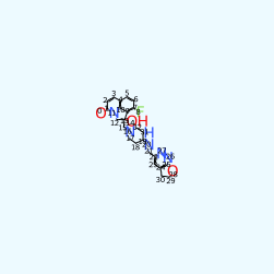 O=c1ccc2ccc(F)c3c2n1CC3(O)CN1CCC(NCc2cc3c(nn2)OCC3)CC1